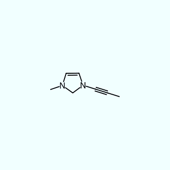 CC#CN1C=CN(C)C1